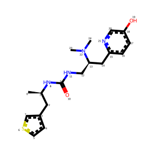 C[C@H](Cc1ccsc1)NC(=O)NC[C@H](Cc1ccc(O)cn1)N(C)C